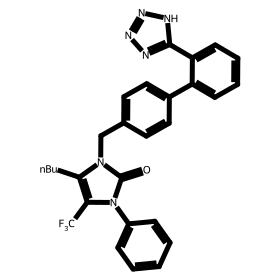 CCCCc1c(C(F)(F)F)n(-c2ccccc2)c(=O)n1Cc1ccc(-c2ccccc2-c2nnn[nH]2)cc1